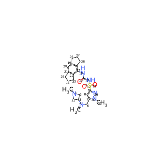 CN1CC(N(C)Cc2cc(S(=O)(=O)NC(=O)Nc3c4c(cc5c3CCC5)CCC4)nn2C)C1